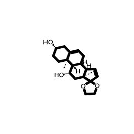 C[C@]12CC[C@H](O)CC1=CC[C@@H]1[C@@H]2[C@@H](O)C[C@@]2(C)[C@H]1C=CC21OCCO1